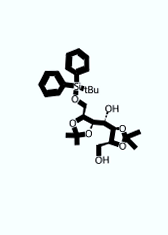 CC1(C)O[C@H]([C@@H](O)[C@@H]2OC(C)(C)O[C@H]2CO[Si](c2ccccc2)(c2ccccc2)C(C)(C)C)[C@H](CO)O1